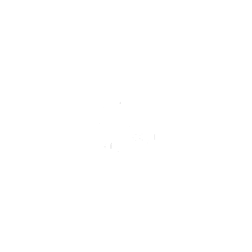 [CH2]c1ccccc1C(=O)O